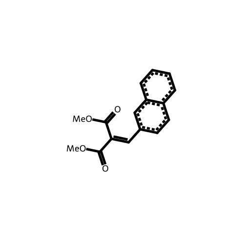 COC(=O)C(=Cc1ccc2ccccc2c1)C(=O)OC